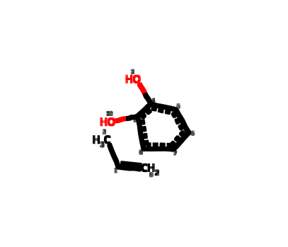 C=CC.Oc1ccccc1O